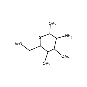 CC(=O)OCC1SC(OC(C)=O)C(N)C(OC(C)=O)C1OC(C)=O